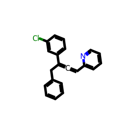 Clc1cccc(C(=C=Cc2ccccn2)Cc2ccccc2)c1